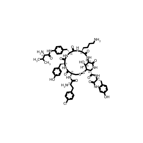 CC(C)[C@H](N)C(=O)Nc1ccc(C[C@H]2NC(=O)[C@H](Cc3ccc(O)cc3)NC(=O)[C@H](NC(=O)[C@@H](N)Cc3ccc(Cl)cc3)CSSC3[C@@H](C(=O)N[C@H](Cc4ccc(O)cc4)C(N)=O)NC(=O)[C@@H](NC(=O)[C@H](CCCCN)NC2=O)[C@@H]3O)cc1